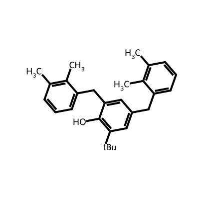 Cc1cccc(Cc2cc(Cc3cccc(C)c3C)c(O)c(C(C)(C)C)c2)c1C